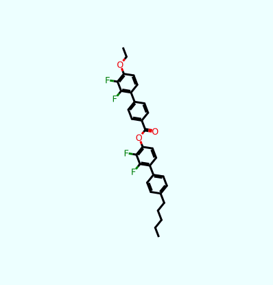 CCCCCc1ccc(-c2ccc(OC(=O)c3ccc(-c4ccc(OCC)c(F)c4F)cc3)c(F)c2F)cc1